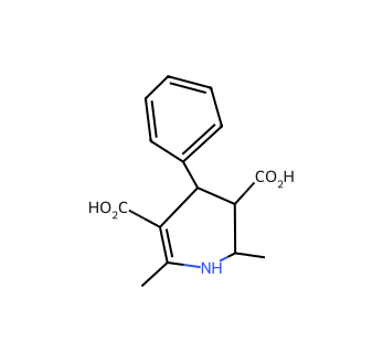 CC1=C(C(=O)O)C(c2ccccc2)C(C(=O)O)C(C)N1